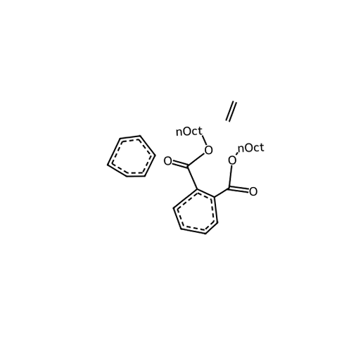 C=C.CCCCCCCCOC(=O)c1ccccc1C(=O)OCCCCCCCC.c1ccccc1